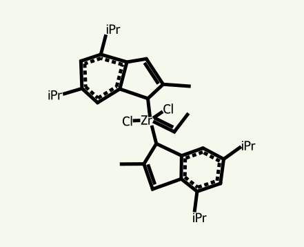 C[CH]=[Zr]([Cl])([Cl])([CH]1C(C)=Cc2c(C(C)C)cc(C(C)C)cc21)[CH]1C(C)=Cc2c(C(C)C)cc(C(C)C)cc21